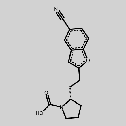 N#Cc1ccc2oc(CC[C@@H]3CCCN3C(=O)O)cc2c1